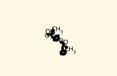 CCO[C@@H](Cc1ccc(OCC(=O)N(CC)Cc2ccccc2)cc1)C(=O)O